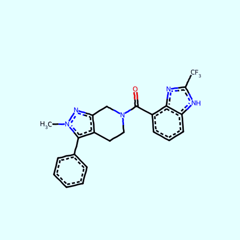 Cn1nc2c(c1-c1ccccc1)CCN(C(=O)c1cccc3[nH]c(C(F)(F)F)nc13)C2